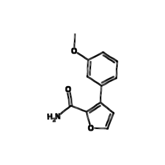 COc1cccc(-c2ccoc2C(N)=O)c1